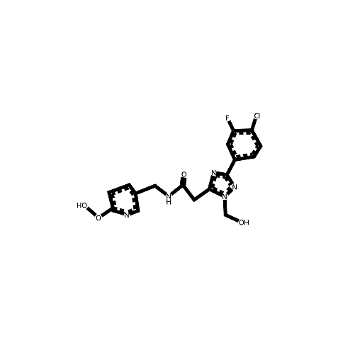 O=C(Cc1nc(-c2ccc(Cl)c(F)c2)nn1CO)NCc1ccc(OO)nc1